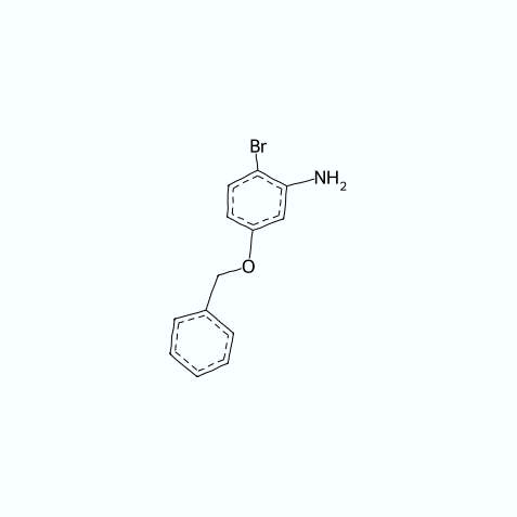 Nc1cc(OCc2ccccc2)ccc1Br